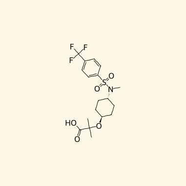 CN([C@H]1CC[C@H](OC(C)(C)C(=O)O)CC1)S(=O)(=O)c1ccc(C(F)(F)F)cc1